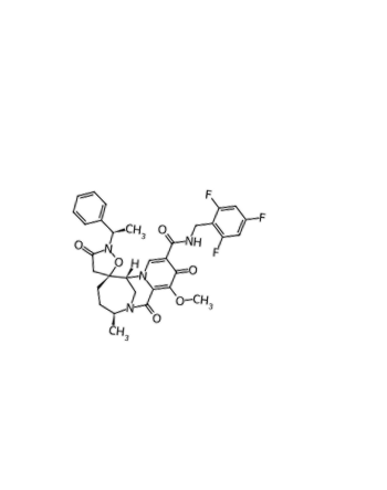 COc1c2n(cc(C(=O)NCc3c(F)cc(F)cc3F)c1=O)[C@@H]1CN(C2=O)[C@@H](C)CC[C@]12CC(=O)N([C@H](C)c1ccccc1)O2